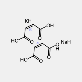 O=C(O)/C=C\C(=O)O.O=C(O)/C=C\C(=O)O.[KH].[NaH]